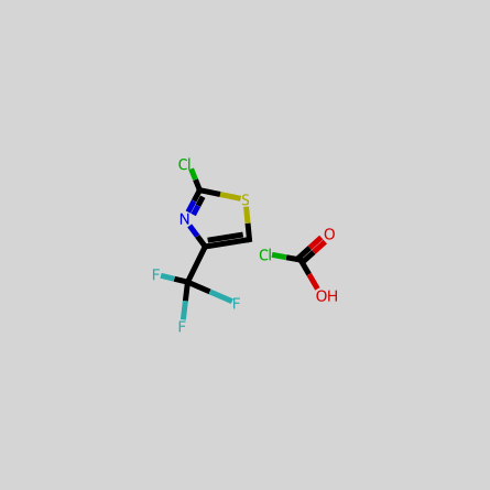 FC(F)(F)c1csc(Cl)n1.O=C(O)Cl